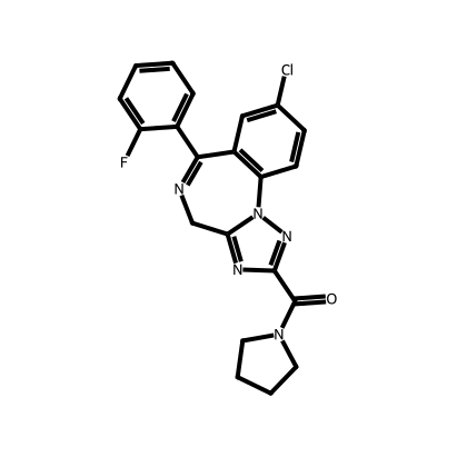 O=C(c1nc2n(n1)-c1ccc(Cl)cc1C(c1ccccc1F)=NC2)N1CCCC1